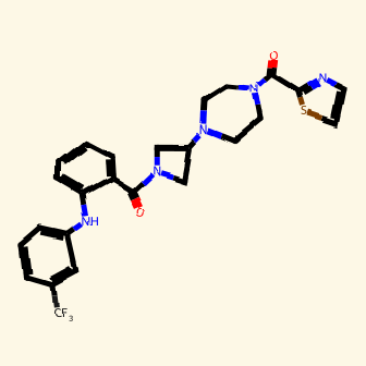 O=C(c1nccs1)N1CCN(C2CN(C(=O)c3ccccc3Nc3cccc(C(F)(F)F)c3)C2)CC1